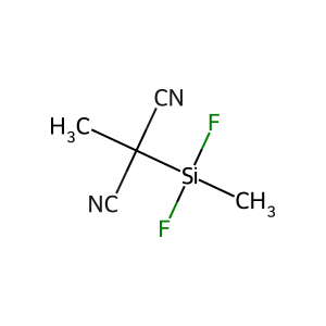 CC(C#N)(C#N)[Si](C)(F)F